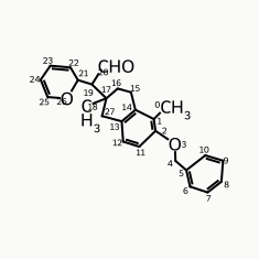 Cc1c(OCc2ccccc2)ccc2c1CCC(C)(C(C=O)C1C=CC=CO1)C2